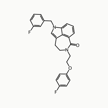 O=C1c2cccc3c2c(cn3Cc2cccc(F)c2)CCN1CCOc1ccc(F)cc1